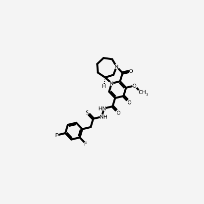 COc1c2n(cc(C(=O)NNC(=S)Cc3ccc(F)cc3F)c1=O)[C@H]1CCCCN(C1)C2=O